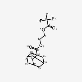 CC(F)(F)C(=O)OCCOC(=O)C12CC3CC(CC(C3)C1)C2